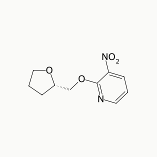 O=[N+]([O-])c1cccnc1OC[C@@H]1CCCO1